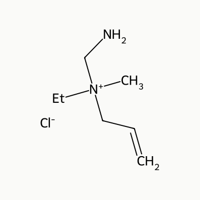 C=CC[N+](C)(CC)CN.[Cl-]